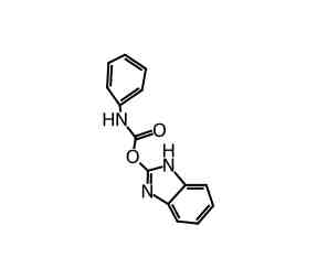 O=C(Nc1ccccc1)Oc1nc2ccccc2[nH]1